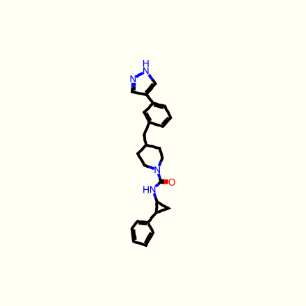 O=C(NC1CC1c1ccccc1)N1CCC(Cc2cccc(-c3cn[nH]c3)c2)CC1